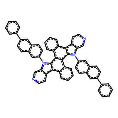 c1ccc(-c2ccc3cc(-n4c5cnccc5c5c6ccccc6c6c(c7ccccc7c7c8ccncc8n(-c8ccc9cc(-c%10ccccc%10)ccc9c8)c76)c54)ccc3c2)cc1